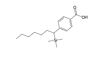 CCCCCCC(c1ccc(C(=O)O)cc1)[Si](C)(C)C